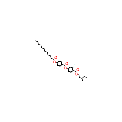 CCCCCCCCCCCC(=O)Oc1ccc(C(=O)Oc2ccc(C(=O)OCCC(C)CC)c(F)c2)cc1